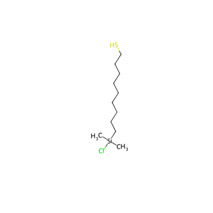 C[Si](C)(Cl)CCCCCCCCCS